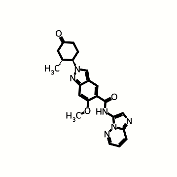 COc1cc2nn([C@@H]3CCC(=O)C[C@H]3C)cc2cc1C(=O)Nc1cnc2cccnn12